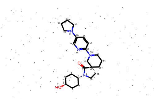 O=C1N([C@H]2CC[C@H](O)CC2)CC[C@]12CCCN(c1ccc(N3CCCC3)cn1)C2